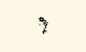 C=CC(=O)OCCC[N+](C)(CC)Cc1ccccc1.[I-]